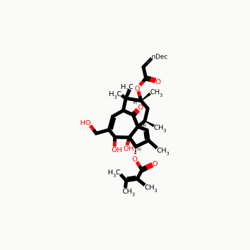 CCCCCCCCCCCC(=O)O[C@]1(C)C[C@@H](C)C23C=C(C)[C@H](OC(=O)C(C)=C(C)C)C2(O)C(O)C(CO)=CC(C3=O)C1(C)C